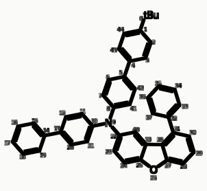 CC(C)(C)c1ccc(-c2ccc(N(c3ccc(-c4ccccc4)cc3)c3ccc4oc5cccc(-c6ccccc6)c5c4c3)cc2)cc1